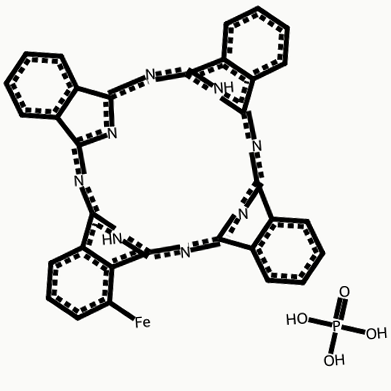 O=P(O)(O)O.[Fe][c]1cccc2c3nc4nc(nc5[nH]c(nc6nc(nc([nH]3)c12)-c1ccccc1-6)c1ccccc51)-c1ccccc1-4